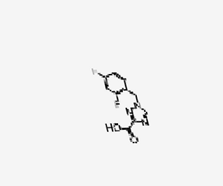 O=C(O)c1ncn(Cc2ccc(F)cc2F)n1